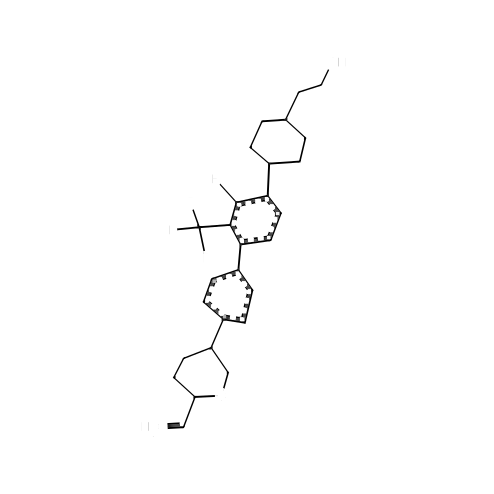 C=CC1CCC(c2ccc(-c3ccc(C4CCC(CCC)CC4)c(F)c3C(F)(F)F)cc2)CO1